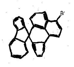 Brc1ccc2c3c(cccc13)C1(c3ccccc3-c3ccccc31)c1ccccc1-2